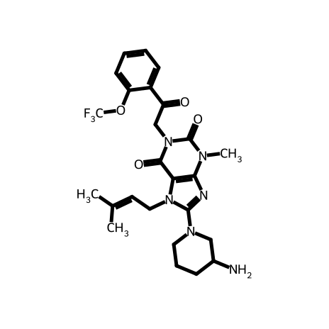 CC(C)=CCn1c(N2CCCC(N)C2)nc2c1c(=O)n(CC(=O)c1ccccc1OC(F)(F)F)c(=O)n2C